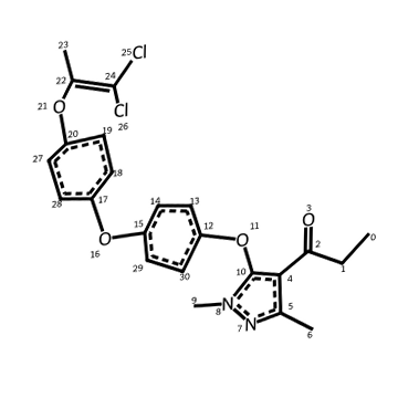 CCC(=O)c1c(C)nn(C)c1Oc1ccc(Oc2ccc(OC(C)=C(Cl)Cl)cc2)cc1